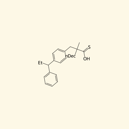 CCCCCCCCCCC(C)(Cc1ccc(C(CC)c2ccccc2)cc1)C(O)=S